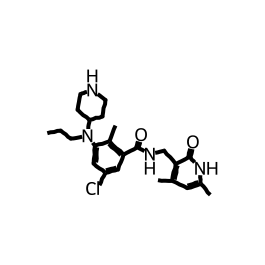 CCCN(c1cc(Cl)cc(C(=O)NCc2c(C)cc(C)[nH]c2=O)c1C)C1CCNCC1